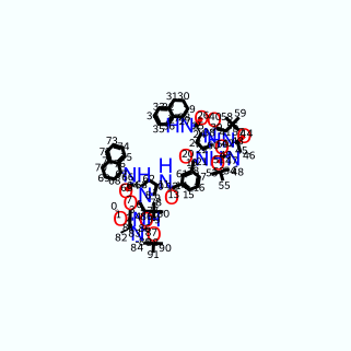 COC(C)(N[C@H](C(=O)N1C[C@@H](NC(=O)c2cccc(C(=O)N[C@H]3C[C@@H](C(=O)N[C@@H]4CCCc5ccccc54)N(C(=O)[C@@H](NC(=O)[C@H](C)N(C)C(=O)OC(C)(C)C)C(C)(C)C)C3)c2)C[C@H]1C(=O)N[C@@H]1CCCc2ccccc21)C(C)(C)C)[C@H](C)N(C)C(=O)OC(C)(C)C